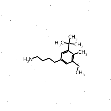 CSc1cc(CCCCN)cc(C(C)(C)C)c1C